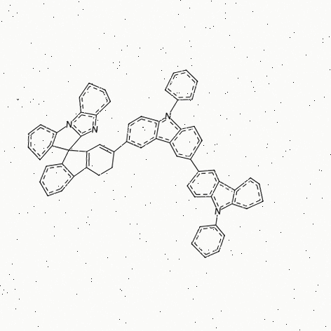 C1=C(c2ccc3c(c2)c2cc(-c4ccc5c(c4)c4ccccc4n5-c4ccccc4)ccc2n3-c2ccccc2)CCC2=C1C1(c3ccccc32)c2ccccc2-n2c1nc1ccccc12